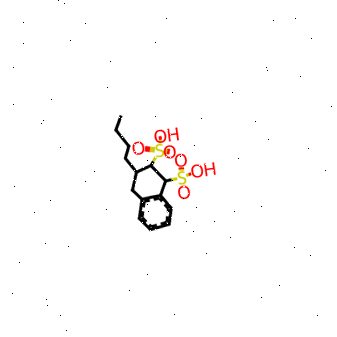 CCCCC1Cc2ccccc2C(S(=O)(=O)O)C1S(=O)(=O)O